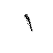 CCCCCCCCCC(=O)OCOC(=O)Oc1ccc([N+](=O)[O-])cc1